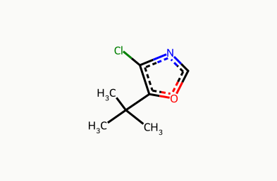 CC(C)(C)c1ocnc1Cl